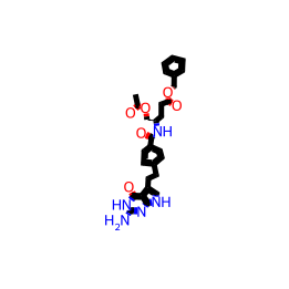 CC(=O)OC[C@H](CCC(=O)OCc1ccccc1)NC(=O)c1ccc(CCc2c[nH]c3nc(N)[nH]c(=O)c23)cc1